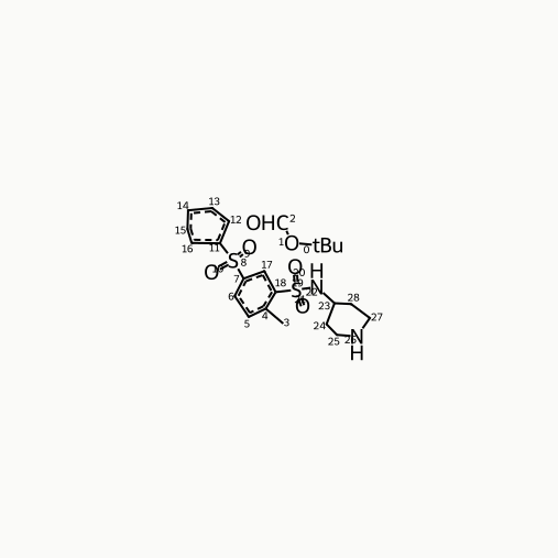 CC(C)(C)OC=O.Cc1ccc(S(=O)(=O)c2ccccc2)cc1S(=O)(=O)NC1CCNCC1